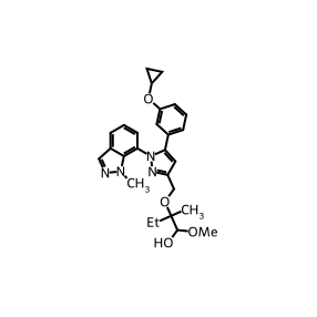 CCC(C)(OCc1cc(-c2cccc(OC3CC3)c2)n(-c2cccc3cnn(C)c23)n1)C(O)OC